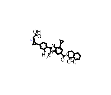 C[C@@H]1c2ccccc2CCN1C(=O)c1cc(C2CC2)c2nc(-c3ccc(C4C/C4=C/C(=O)O)cc3F)n(C)c2c1